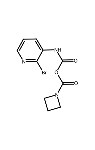 O=C(Nc1cccnc1Br)OC(=O)N1CCC1